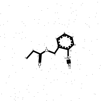 CCC(=O)OCc1ccccc1[N+]#N